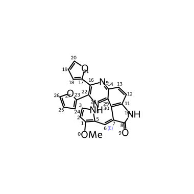 COc1cc[nH]c1/C=C1/C(=O)Nc2ccc3nc(-c4ccco4)c(-c4ccco4)nc3c21